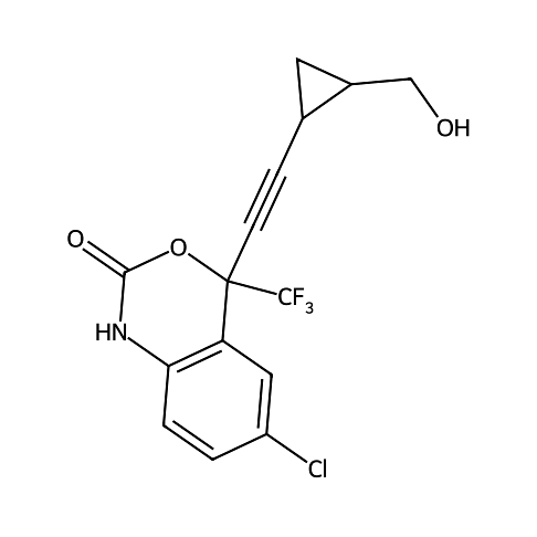 O=C1Nc2ccc(Cl)cc2C(C#CC2CC2CO)(C(F)(F)F)O1